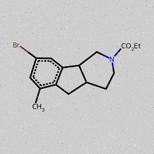 CCOC(=O)N1CCC2Cc3c(C)cc(Br)cc3C2C1